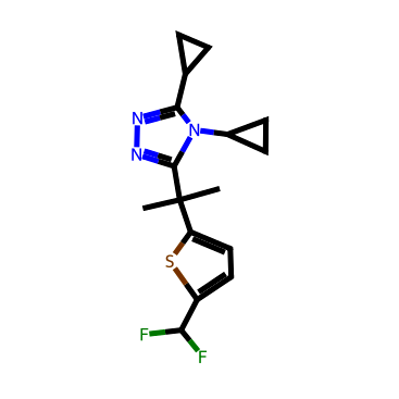 CC(C)(c1ccc(C(F)F)s1)c1nnc(C2CC2)n1C1CC1